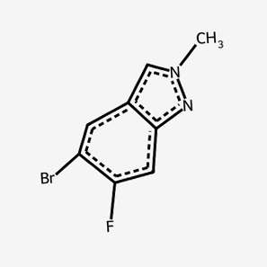 Cn1cc2cc(Br)c(F)cc2n1